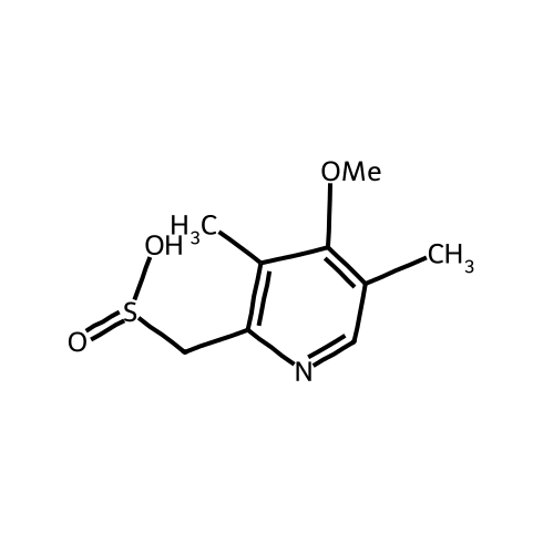 COc1c(C)cnc(CS(=O)O)c1C